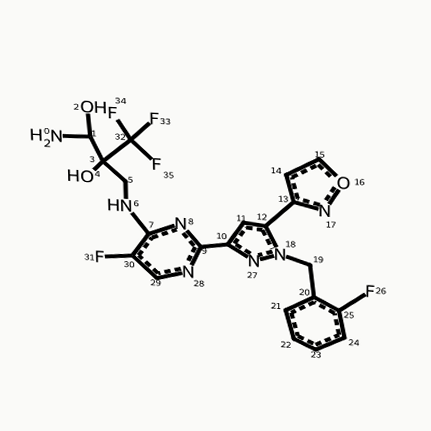 NC(O)C(O)(CNc1nc(-c2cc(-c3ccon3)n(Cc3ccccc3F)n2)ncc1F)C(F)(F)F